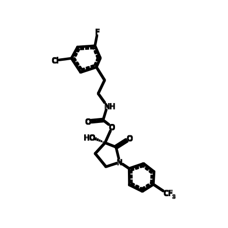 O=C(NCCc1cc(F)cc(Cl)c1)O[C@]1(O)CCN(c2ccc(C(F)(F)F)cc2)C1=O